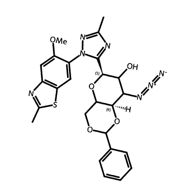 COc1cc2nc(C)sc2cc1-n1nc(C)nc1[C@@H]1OC2COC(c3ccccc3)O[C@@H]2C(N=[N+]=[N-])C1O